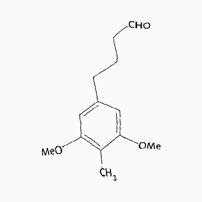 COc1cc(CCCC=O)cc(OC)c1C